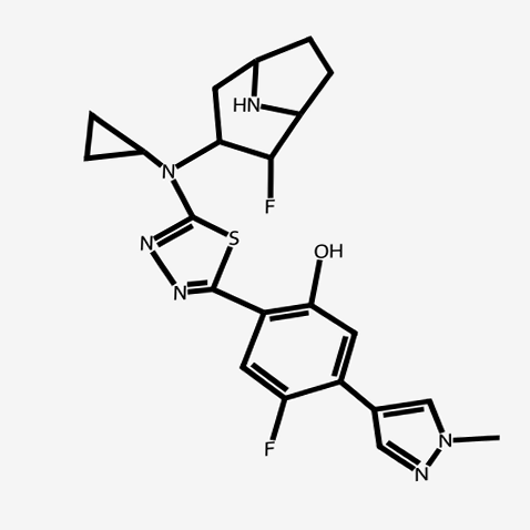 Cn1cc(-c2cc(O)c(-c3nnc(N(C4CC4)C4CC5CCC(N5)C4F)s3)cc2F)cn1